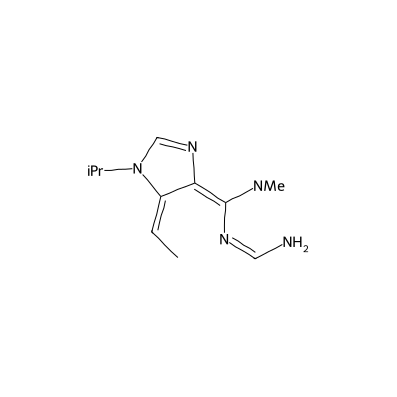 C\C=c1/c(=C(\N=C/N)NC)ncn1C(C)C